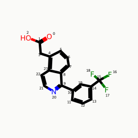 O=C(O)Cc1cccc2c(-c3cccc(C(F)(F)F)c3)nccc12